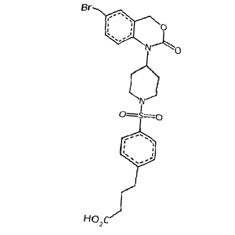 O=C(O)CCCc1ccc(S(=O)(=O)N2CCC(N3C(=O)OCc4cc(Br)ccc43)CC2)cc1